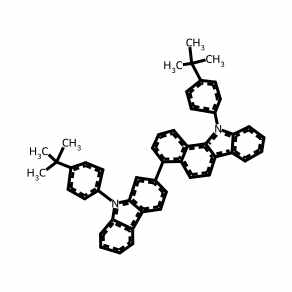 CC(C)(C)c1ccc(-n2c3ccccc3c3ccc(-c4cccc5c4ccc4c6ccccc6n(-c6ccc(C(C)(C)C)cc6)c54)cc32)cc1